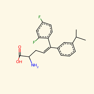 CC(C)c1cccc(/C(=C/CC(N)C(=O)O)c2ccc(F)cc2F)c1